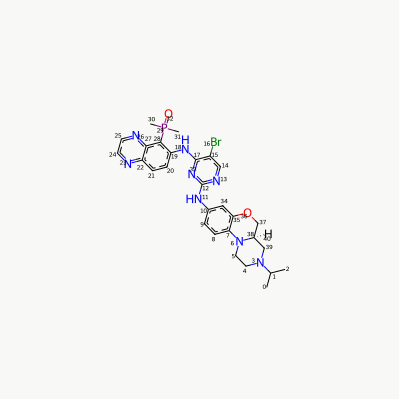 CC(C)N1CCN2c3ccc(Nc4ncc(Br)c(Nc5ccc6nccnc6c5P(C)(C)=O)n4)cc3OC[C@H]2C1